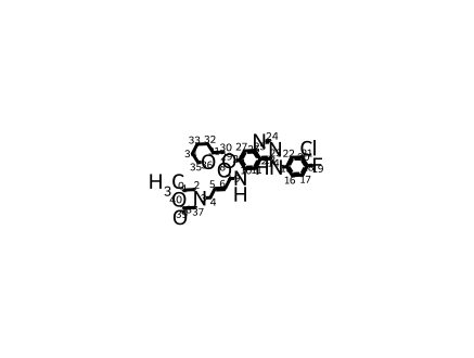 CC1CN(CC=CC(=O)Nc2cc3c(Nc4ccc(F)c(Cl)c4)ncnc3cc2OCC2CCCCO2)CC(=O)O1